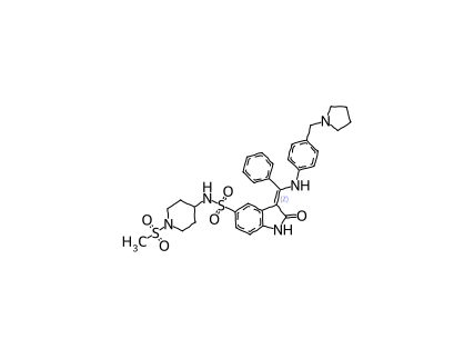 CS(=O)(=O)N1CCC(NS(=O)(=O)c2ccc3c(c2)/C(=C(/Nc2ccc(CN4CCCC4)cc2)c2ccccc2)C(=O)N3)CC1